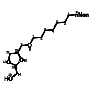 CCCCCCCCCCCCCCCCOCC1COC(CO)O1